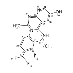 Cc1nc(N[C@H](C)c2cccc(C(F)F)c2F)c2cc(O)cnc2n1